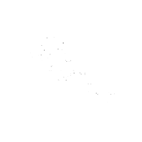 CCN(CC)CCCNC(=O)CN1C(=O)c2ccccc2C(CC(=O)O)c2ccccc21